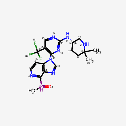 C[PH](=O)c1nccc2c1ncn2-c1nc(N[C@H]2CCC(C)(C)NC2)ncc1C(F)(F)F